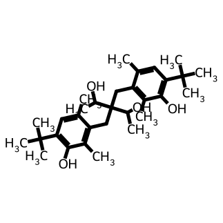 Cc1cc(C(C)(C)C)c(O)c(C)c1CC(Cc1c(C)cc(C(C)(C)C)c(O)c1C)(C(C)O)C(C)O